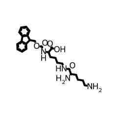 NCCCCC(N)C(=O)NCCCCC(NC(=O)OCC1c2ccccc2-c2ccccc21)C(=O)O